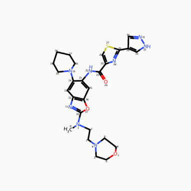 CN(CCN1CCOCC1)c1nc2cc(N3CCCCC3)c(NC(=O)c3csc(-c4cn[nH]c4)n3)cc2o1